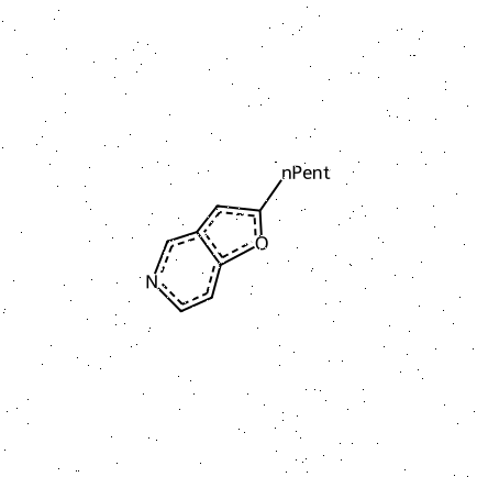 [CH2]CCCCc1cc2cnccc2o1